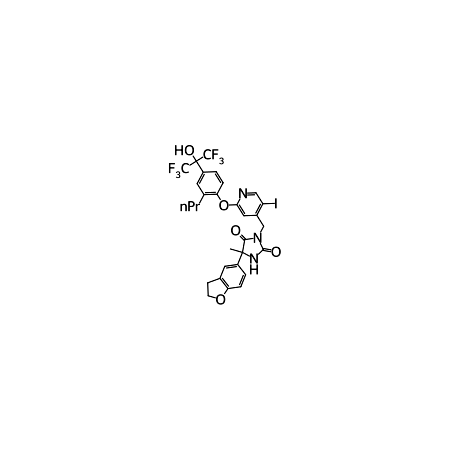 CCCc1cc(C(O)(C(F)(F)F)C(F)(F)F)ccc1Oc1cc(CN2C(=O)NC(C)(c3ccc4c(c3)CCO4)C2=O)c(I)cn1